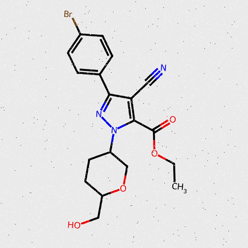 CCOC(=O)c1c(C#N)c(-c2ccc(Br)cc2)nn1C1CCC(CO)OC1